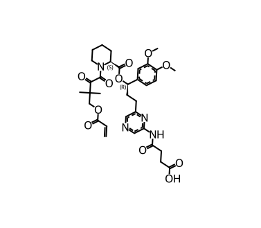 C=CC(=O)OCC(C)(C)C(=O)C(=O)N1CCCC[C@H]1C(=O)O[C@H](CCc1cncc(NC(=O)CCC(=O)O)n1)c1ccc(OC)c(OC)c1